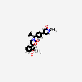 Cn1ccc(-c2ccc([C@@H](C3CC3)N3CC[C@@](CC(C)(C)O)(c4ccccc4)OC3=O)cc2)cc1=O